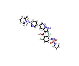 O=C(c1c(F)ccc(NS(=O)(=O)N2CCCC2)c1F)c1c[nH]c2ncc(-c3ccc(N4C[C@H]5CCC[C@@H](C4)N5)nc3)cc12